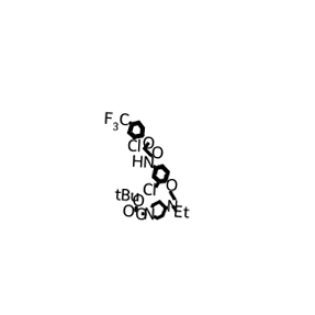 CCN(CCOc1ccc(NC(=O)COc2ccc(C(F)(F)F)cc2Cl)cc1Cl)C1CCN(OC(=O)OC(C)(C)C)CC1